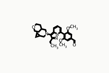 CCc1nn2c(-c3c(OC)cc(C=O)cc3OC)cccc2c1N(CC1CCOCC1)CC1CC1